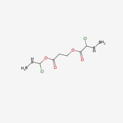 BBC(Cl)OC(=O)CCOC(=O)C(Cl)BB